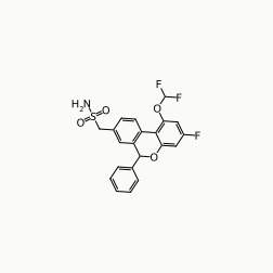 NS(=O)(=O)Cc1ccc2c(c1)C(c1ccccc1)Oc1cc(F)cc(OC(F)F)c1-2